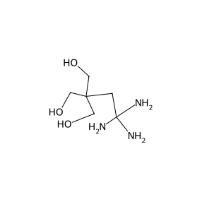 NC(N)(N)CC(CO)(CO)CO